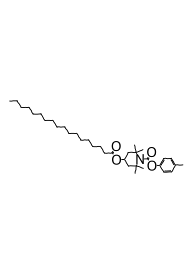 CCCCCCCCCCCCCCCCCC(=O)OC1CC(C)(C)N(C(=O)Oc2ccc(C)cc2)C(C)(C)C1